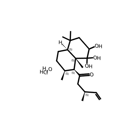 C=C[C@@H](C)CC(=O)[C@H]1[C@@H](C)CC[C@H]2C(C)(C)CC(O)C(O)(O)[C@]12C.Cl.O